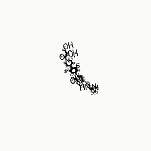 O=C([C@@H](O)CO)N1CC=C(c2c(F)cc(N3C[C@H](CNc4nncs4)OC3=O)cc2F)CC1